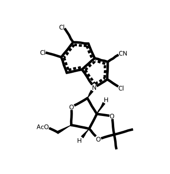 CC(=O)OC[C@H]1O[C@@H](n2c(Cl)c(C#N)c3cc(Cl)c(Cl)cc32)[C@@H]2OC(C)(C)O[C@@H]21